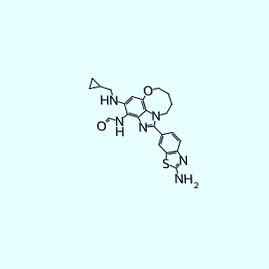 Nc1nc2ccc(-c3nc4c(NC=O)c(NCC5CC5)cc5c4n3CCCCO5)cc2s1